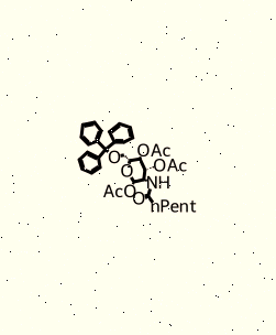 CCCCCC(=O)N[C@H]1[C@@H](OC(C)=O)O[C@H](COC(c2ccccc2)(c2ccccc2)c2ccccc2)[C@@H](OC(C)=O)[C@@H]1OC(C)=O